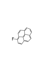 Fc1ccc2ccc3cccc4ccc1c2c34